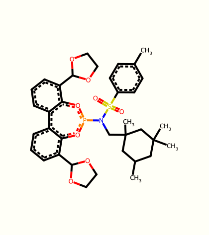 Cc1ccc(S(=O)(=O)N(CC2(C)CC(C)CC(C)(C)C2)p2oc3c(C4OCCO4)cccc3c3cccc(C4OCCO4)c3o2)cc1